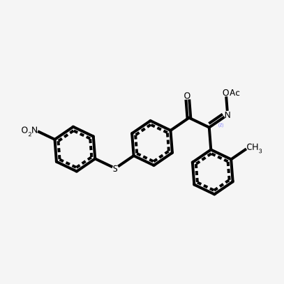 CC(=O)O/N=C(\C(=O)c1ccc(Sc2ccc([N+](=O)[O-])cc2)cc1)c1ccccc1C